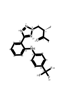 CC(=O)[C@@H](C)Cn1nnc(-c2ccccc2Nc2ccc(C(F)(F)F)cc2)n1